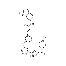 CN1CCN(C(=O)c2c[nH]c(-c3cc(Oc4cccc(CCC(=O)Nc5ccc(Cl)c(C(F)(F)F)c5)c4)ccn3)n2)CC1